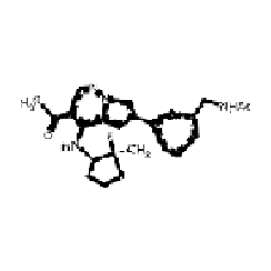 CC(=O)NCc1cccc(-c2cc3c(N[C@@H]4CCC[C@]4(C)F)c(C(N)=O)cnn3c2)c1